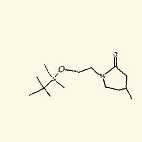 CC1CC(=O)N(CCO[Si](C)(C)C(C)(C)C)C1